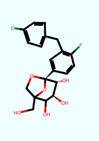 OCC12CO[C@@](c3ccc(F)c(Cc4ccc(Cl)cc4)c3)(O1)[C@H](O)[C@@H](O)C2O